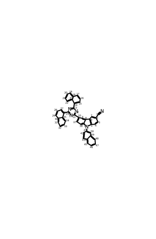 N#Cc1ccc2c(c1)c1cc(-c3nc(-c4cccc5ccccc45)nc(-c4cccc5ccccc45)n3)ccc1n2-c1ccc2ccccc2c1